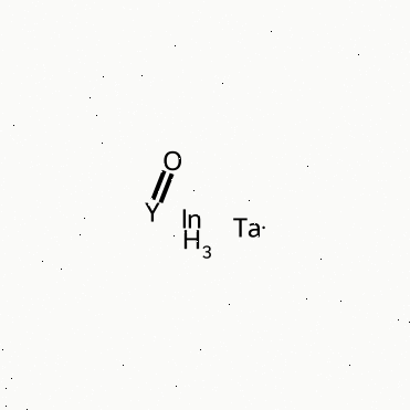 [InH3].[O]=[Y].[Ta]